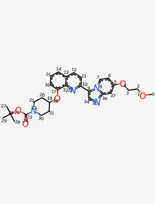 COCCOc1ccn2c(-c3ccc4cccc(OC5CCN(C(=O)OC(C)(C)C)CC5)c4n3)cnc2c1